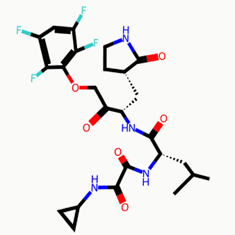 CC(C)C[C@H](NC(=O)C(=O)NC1CC1)C(=O)N[C@@H](C[C@@H]1CCNC1=O)C(=O)COc1c(F)c(F)cc(F)c1F